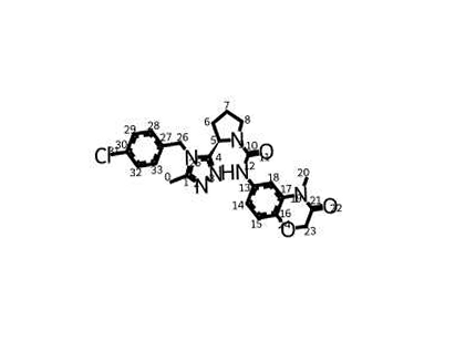 Cc1nnc([C@H]2CCCN2C(=O)Nc2ccc3c(c2)N(C)C(=O)CO3)n1Cc1ccc(Cl)cc1